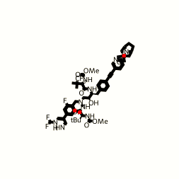 COC(=O)NC(C(=O)N[C@@H](Cc1ccc(C#Cc2ccc(N3CC4CCC(C3)N4C3COC3)nc2)cc1)[C@@H](O)CN(Cc1c(F)cc(/C(C=N)=C/NC(F)F)cc1F)NC(=O)[C@@H](NC(=O)OC)C(C)(C)C)C(C)(C)C(F)(F)F